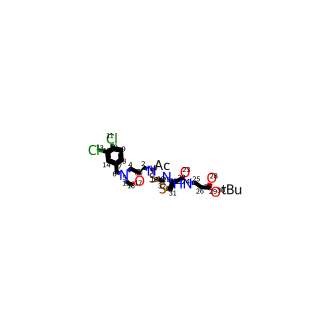 CC(=O)N(C[C@@H]1CN(Cc2ccc(Cl)c(Cl)c2)CCO1)Sc1nc(C(=O)NCCC(=O)OC(C)(C)C)cs1